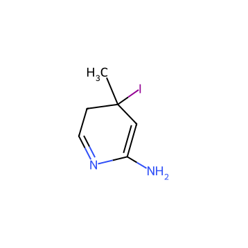 CC1(I)C=C(N)N=CC1